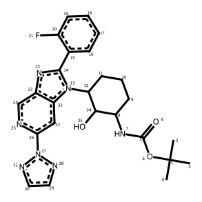 CC(C)(C)OC(=O)NC1CCCC(n2c(-c3ccccc3F)nc3cnc(-n4nccn4)cc32)C1O